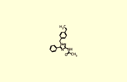 C=Cc1ccc(Cn2nc(NC(C)=O)nc2-c2ccccc2)cc1